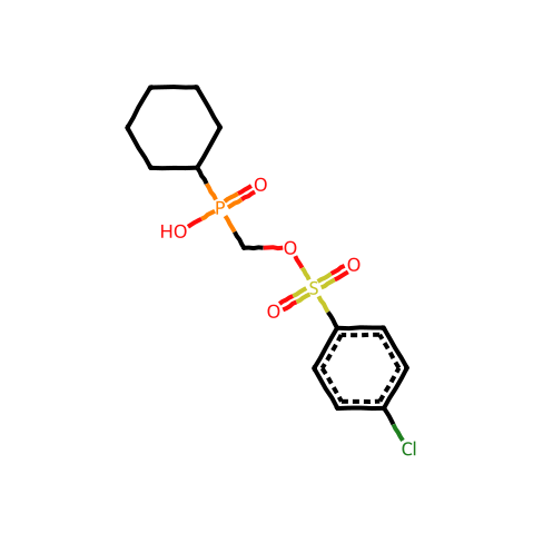 O=P(O)(COS(=O)(=O)c1ccc(Cl)cc1)C1CCCCC1